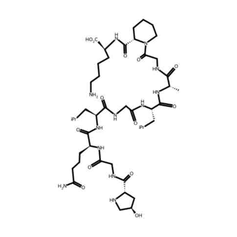 CC(C)C[C@H](NC(=O)CNC(=O)[C@H](CC(C)C)NC(=O)[C@H](CCCC(N)=O)NC(=O)CNC(=O)[C@@H]1C[C@@H](O)CN1)C(=O)N[C@@H](C)C(=O)NCC(=O)N1CCCC[C@H]1C(=O)N[C@@H](CCCCN)C(=O)O